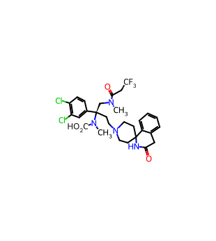 CN(C[C@](CCN1CCC2(CC1)NC(=O)Cc1ccccc12)(c1ccc(Cl)c(Cl)c1)N(C)C(=O)O)C(=O)CC(F)(F)F